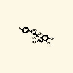 Cc1cc2c(C(F)(F)F)c(C#N)ccc2n1C(C)(C)c1nc(-c2ccc(F)cc2)no1